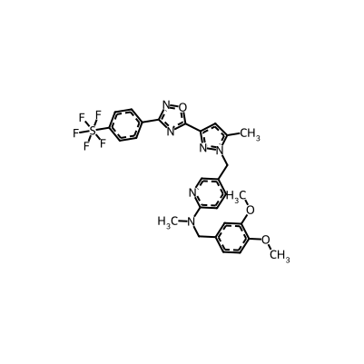 COc1ccc(CN(C)c2ccc(Cn3nc(-c4nc(-c5ccc(S(F)(F)(F)(F)F)cc5)no4)cc3C)cn2)cc1OC